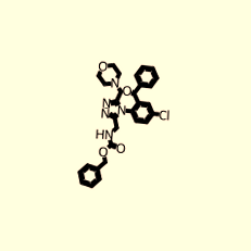 O=C(NCc1nnc(CN2CCOCC2)n1-c1ccc(Cl)cc1C(=O)c1ccccc1)OCc1ccccc1